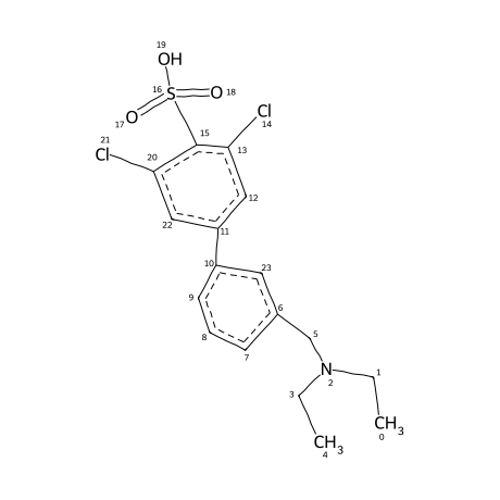 CCN(CC)Cc1cccc(-c2cc(Cl)c(S(=O)(=O)O)c(Cl)c2)c1